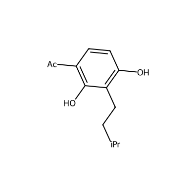 CC(=O)c1ccc(O)c(CCC(C)C)c1O